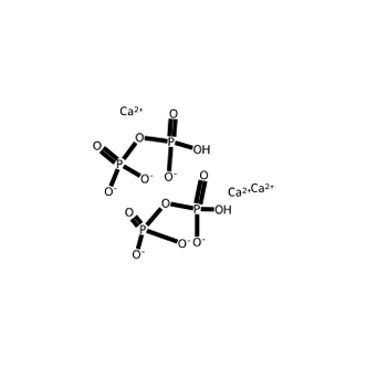 O=P([O-])([O-])OP(=O)([O-])O.O=P([O-])([O-])OP(=O)([O-])O.[Ca+2].[Ca+2].[Ca+2]